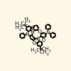 CC(C)(C)c1cc2c3c(c1)Oc1cc(N(c4ccccc4)c4ccccc4)cc4c1B3c1cc3c(cc1O2)N(c1ccccc1)c1cc(C(C)(C)C)cc2c1B3c1c(cccc1O2)O4